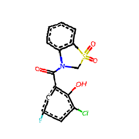 O=C(c1cc(F)cc(Cl)c1O)N1CS(=O)(=O)c2ccccc21